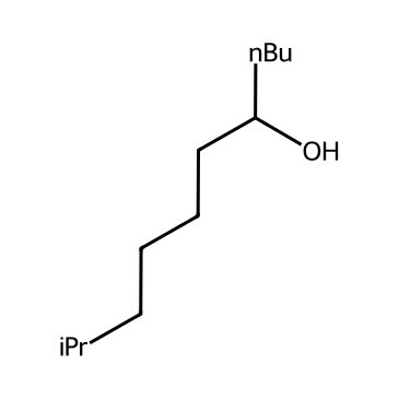 CCCCC(O)CCCCC(C)C